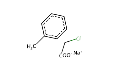 Cc1ccccc1.O=C([O-])CCl.[Na+]